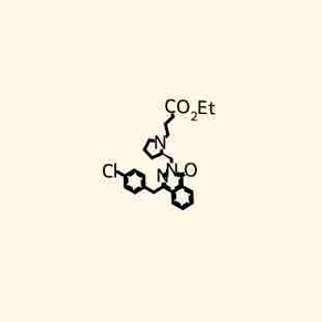 CCOC(=O)CCCN1CCC[C@@H]1Cn1nc(Cc2ccc(Cl)cc2)c2ccccc2c1=O